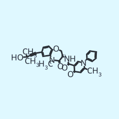 Cc1cc(=O)c(C(=O)N[C@H]2COc3ccc(C#CC(C)(C)O)cc3N(C)C2=O)cn1-c1ccccc1